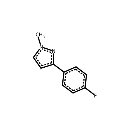 Cn1c[c]c(-c2ccc(F)cc2)n1